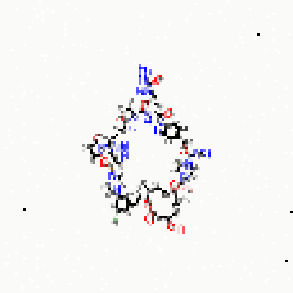 CN/C=C(\C=N)SN1CCN(c2cc(F)cc(/C=C(\C)[C@H]3OC(=O)C[C@H](O)CC[C@H](C)[C@@H](OC(=O)N4CCN(C(=N)OCc5ccc(NC(=O)[C@H](CCCNC(N)=O)NC(=O)[C@@H](NC(=O)CCCCCN6C(=O)C=CC6=O)C(C)C)cc5)CC4)/C=C/[C@@H]3C)c2)CC1